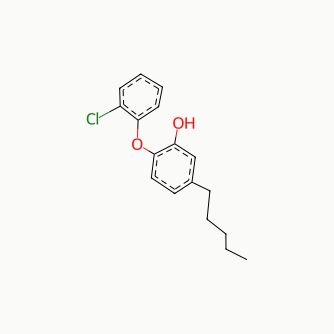 CCCCCc1ccc(Oc2ccccc2Cl)c(O)c1